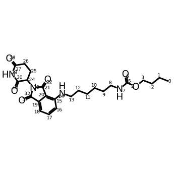 CCCCOC(=O)NCCCCCCNc1cccc2c1C(=O)N(C1CCC(=O)NC1=O)C2=O